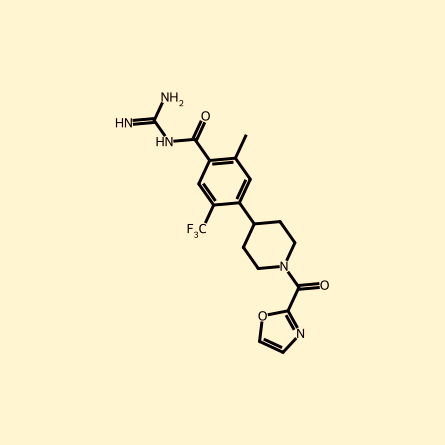 Cc1cc(C2CCN(C(=O)c3ncco3)CC2)c(C(F)(F)F)cc1C(=O)NC(=N)N